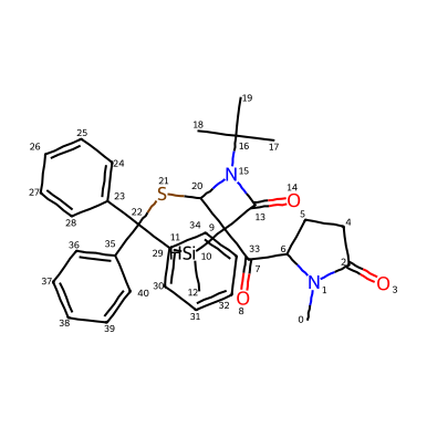 CN1C(=O)CCC1C(=O)C1([SiH](C)C)C(=O)N(C(C)(C)C)C1SC(c1ccccc1)(c1ccccc1)c1ccccc1